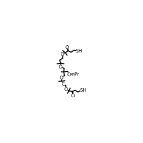 CCCOCC(C)(COC(C)(C)CCOC(C)(C)C(=O)CCS)COC(C)(C)CCOC(C)(C)C(=O)CCS